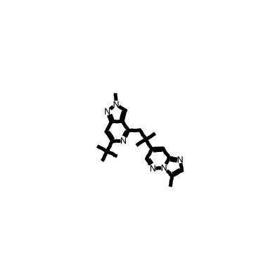 Cc1cnc2cc(C(C)(C)Cc3nc(C(C)(C)C)cc4nn(C)cc34)cnn12